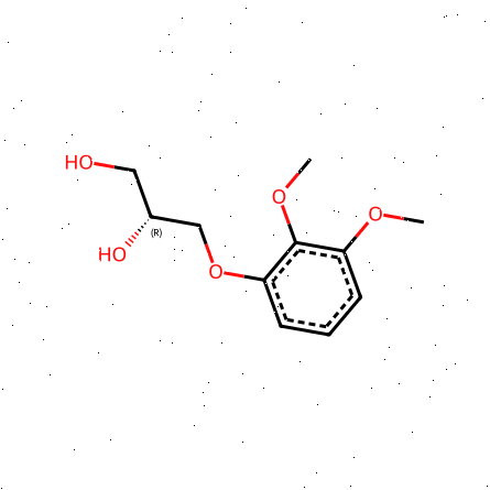 COc1cccc(OC[C@H](O)CO)c1OC